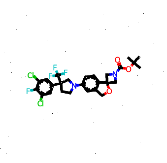 CC(C)(C)OC(=O)N1CC2(C1)OCc1cc(N3CCC(c4cc(Cl)c(F)c(Cl)c4)(C(F)(F)F)C3)ccc12